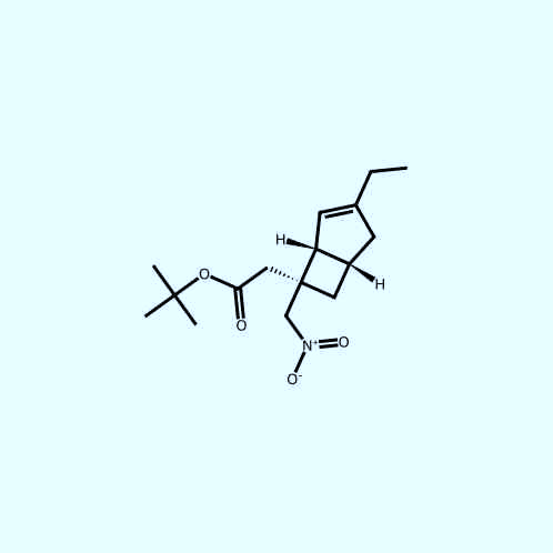 CCC1=C[C@@H]2[C@H](C1)C[C@@]2(CC(=O)OC(C)(C)C)C[N+](=O)[O-]